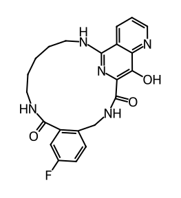 O=C1NCCCCCNc2nc(c(O)c3ncccc23)C(=O)NCc2ccc(F)cc21